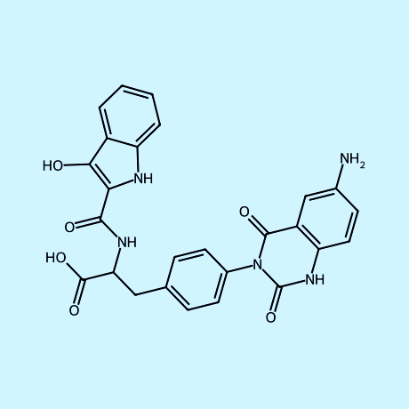 Nc1ccc2[nH]c(=O)n(-c3ccc(CC(NC(=O)c4[nH]c5ccccc5c4O)C(=O)O)cc3)c(=O)c2c1